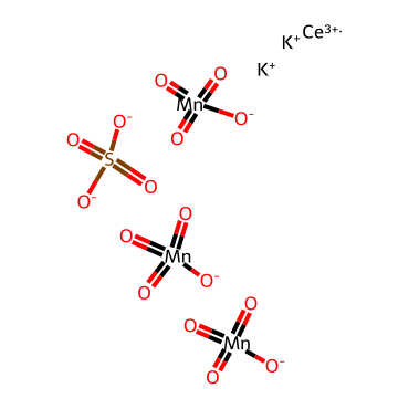 O=S(=O)([O-])[O-].[Ce+3].[K+].[K+].[O]=[Mn](=[O])(=[O])[O-].[O]=[Mn](=[O])(=[O])[O-].[O]=[Mn](=[O])(=[O])[O-]